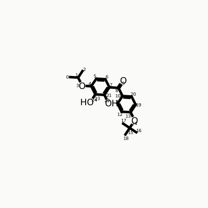 CC(C)Oc1ccc(C(=O)c2ccc(OC(C)(C)C)cc2)c(O)c1O